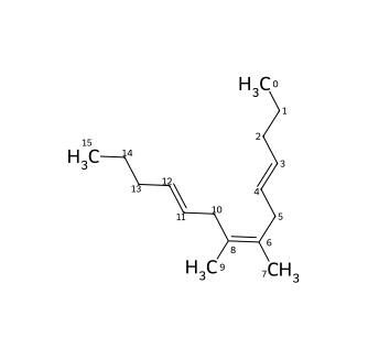 CCCC=CCC(C)=C(C)CC=CCCC